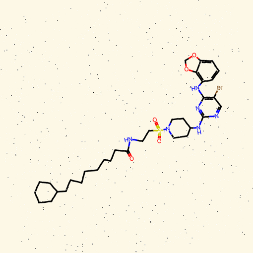 O=C(CCCCCCCCC1CCCCC1)NCCS(=O)(=O)N1CCC(Nc2ncc(Br)c(Nc3cccc4c3OCO4)n2)CC1